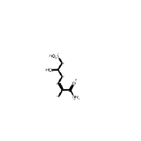 CC(=CCC(O)CS(=O)(=O)O)C(N)=O